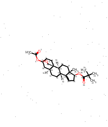 CC(=O)OC1CC[C@@]2(CO)[C@@H](CC[C@H]3C4=CC[C@H](OC(=O)C(C)(C)C)[C@@]4(C)CC[C@@H]32)C1